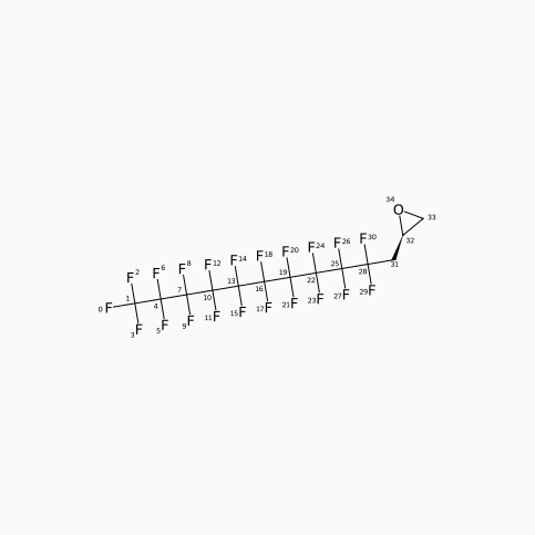 FC(F)(F)C(F)(F)C(F)(F)C(F)(F)C(F)(F)C(F)(F)C(F)(F)C(F)(F)C(F)(F)C(F)(F)C[C@@H]1CO1